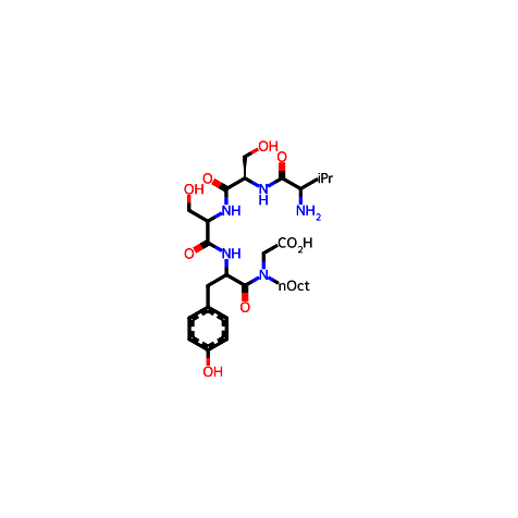 CCCCCCCCN(CC(=O)O)C(=O)C(Cc1ccc(O)cc1)NC(=O)C(CO)NC(=O)[C@@H](CO)NC(=O)C(N)C(C)C